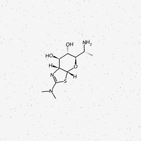 C[C@@H](N)[C@H]1O[C@@H]2SC(N(C)C)=N[C@@H]2[C@@H](O)[C@@H]1O